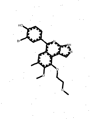 COCCOc1c(OC)c(C)cc2c(-c3ccc(O)c(Br)c3)nc3[nH]ncc3c12